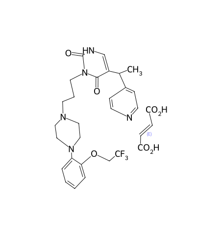 CC(c1ccncc1)c1c[nH]c(=O)n(CCCN2CCN(c3ccccc3OCC(F)(F)F)CC2)c1=O.O=C(O)/C=C/C(=O)O